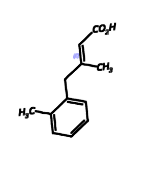 C/C(=C\C(=O)O)Cc1ccccc1C